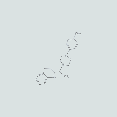 COc1ccc(N2CCN(C(C)C3CCc4ccccc4N3)CC2)cc1